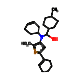 CC1CCC(C(O)N(c2cc(C3=CCCCC3)sc2C(=O)O)C2CC=CCC2)CC1